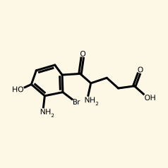 Nc1c(O)ccc(C(=O)C(N)CCC(=O)O)c1Br